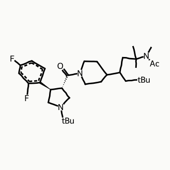 CC(=O)N(C)C(C)(C)CC(CC(C)(C)C)C1CCN(C(=O)[C@@H]2CN(C(C)(C)C)C[C@H]2c2ccc(F)cc2F)CC1